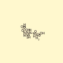 NC(CC(=O)O)C(=O)NCCNc1nc(S)c2ncn([C@@H]3O[C@H](CO)C(O)C3O)c2n1